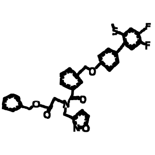 CSc1cc(F)c(F)cc1-c1ccc(OCc2cccc(C(=O)N(CC(=O)OCc3ccccc3)Cc3ccon3)c2)cc1